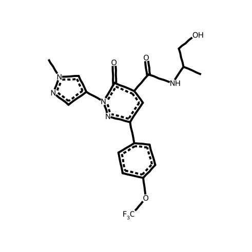 CC(CO)NC(=O)c1cc(-c2ccc(OC(F)(F)F)cc2)nn(-c2cnn(C)c2)c1=O